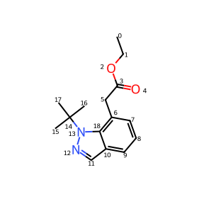 CCOC(=O)Cc1cccc2cnn(C(C)(C)C)c12